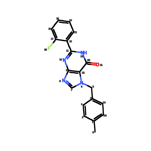 Cc1ccc(Cn2cnc3nc(-c4ccccc4F)[nH]c(=O)c32)cc1